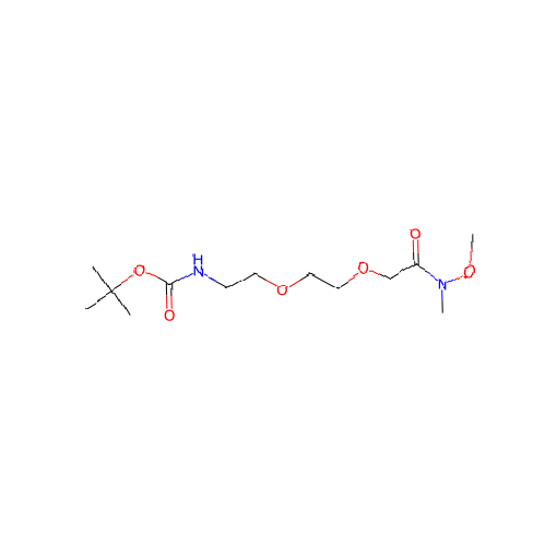 CON(C)C(=O)COCCOCCNC(=O)OC(C)(C)C